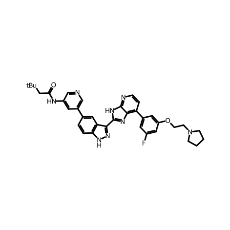 CC(C)(C)CC(=O)Nc1cncc(-c2ccc3[nH]nc(-c4nc5c(-c6cc(F)cc(OCCN7CCCC7)c6)ccnc5[nH]4)c3c2)c1